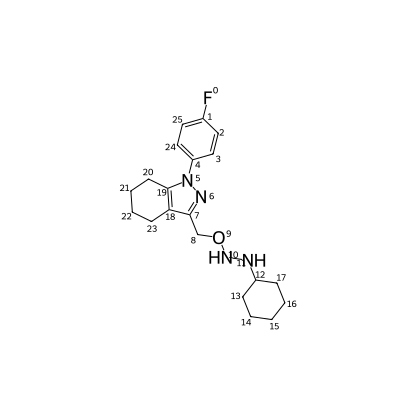 Fc1ccc(-n2nc(CONNC3CCCCC3)c3c2CCCC3)cc1